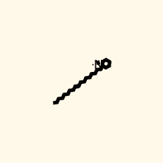 CCCCCCCC/C=C/CCCCCCCCC1([N]C)CCCCC1